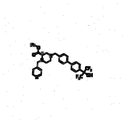 CC(C)OC(=O)[C@H]1CN(Cc2ccc(-c3ccc(C(O)(C(F)(F)F)C(F)(F)F)cc3)cc2)CCN1Cc1ccncc1